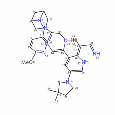 COc1ccc(CN2C3CC2CN(C2=NC=C(C4=CC(N5CCC(C)(C)C5)=CN/C4=C(/C#N)C=N)N(C)C2)C3)cn1